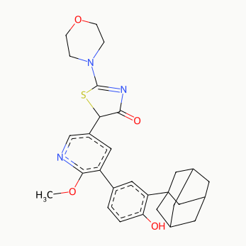 COc1ncc(C2SC(N3CCOCC3)=NC2=O)cc1-c1ccc(O)c(C23CC4CC(CC(C4)C2)C3)c1